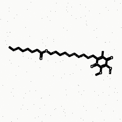 CCCCCCCC(=O)OCCCCCCCCCCC1=C(C)C(=O)C(OC)=C(OC)C1=O